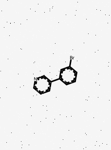 Brc1cccc(-c2[c]nccc2)c1